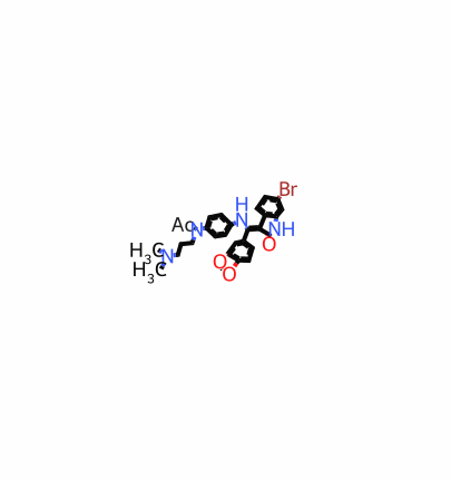 CC(=O)N(CCCN(C)C)c1ccc(NC(=C2C(=O)Nc3cc(Br)ccc32)c2ccc3c(c2)OCO3)cc1